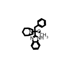 COC(Cc1ccccc1)(c1nc2ccccc2[nH]1)N1C2CCCC1CC2